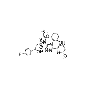 COC1=NC(c2nnc(N(/C=C/S(C)(C)C)S(=O)(=O)C[C@@H](O)c3ccc(F)cc3)n2-c2c(O)cccc2O)=C=C=C1